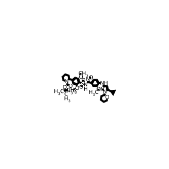 COc1cc2c(NS(=O)(=O)c3c(OC)cc(C4CCCCN4C(=O)OC(C)(C)C)cc3OC)noc2cc1Nc1cc(C2CC2)n(C2CCCCO2)n1